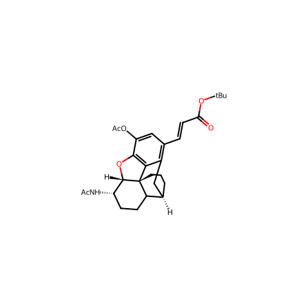 CC(=O)N[C@H]1CCC2[C@@H]3CCC[C@@]24c2c(c(/C=C/C(=O)OC(C)(C)C)cc(OC(C)=O)c2O[C@@H]14)C3